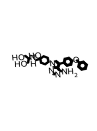 Nc1ncnc2c1c(-c1ccc(Oc3ccccc3)cc1)cn2[C@H]1CC[C@](O)(CNC(CO)CO)CC1